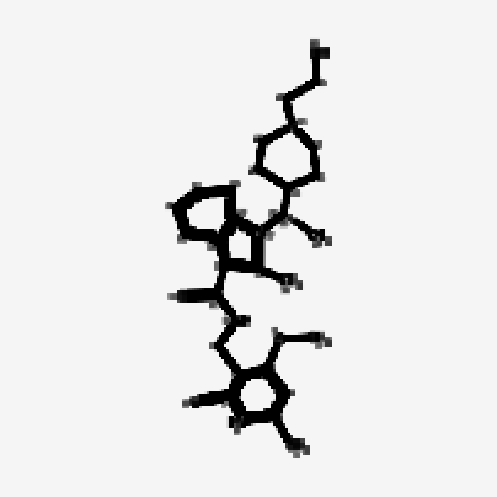 COc1cc(C)[nH]c(=O)c1CNC(=O)c1c(C)n([C@@H](C)C2CCN(CCO)CC2)c2ccccc12